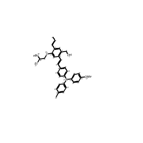 CC=Cc1cc(CO)c(C=Cc2ccc(N(c3ccc(C)cc3)c3ccc(OC)cc3)cc2)cc1OCC(CC)CCCC